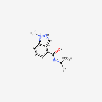 CCC(NC(=O)c1cccc2c1cnn2C)C(=O)O